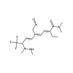 CC\C(=C/C=C(/C=C/C(N(C)NC)C(F)(F)F)CN=O)C(=O)N(C)C